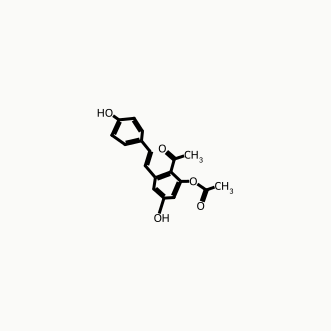 CC(=O)Oc1cc(O)cc(C=Cc2ccc(O)cc2)c1C(C)=O